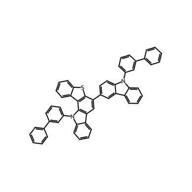 c1ccc(-c2cccc(-n3c4ccccc4c4cc(-c5cc6c7ccccc7n(-c7cccc(-c8ccccc8)c7)c6c6c5sc5ccccc56)ccc43)c2)cc1